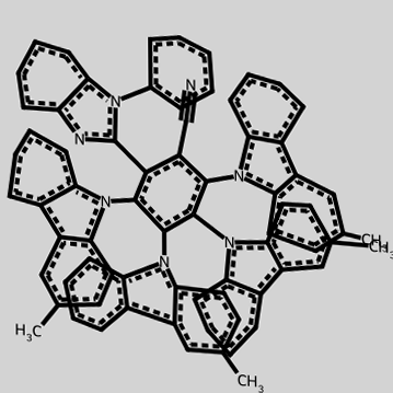 Cc1ccc2c(c1)c1ccccc1n2-c1c(C#N)c(-c2nc3ccccc3n2-c2ccccc2)c(-n2c3ccccc3c3cc(C)ccc32)c(-n2c3ccccc3c3cc(C)ccc32)c1-n1c2ccccc2c2cc(C)ccc21